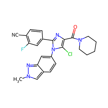 Cn1cc2ccc(-n3c(-c4ccc(C#N)c(F)c4)nc(C(=O)N4CCCCC4)c3Cl)cc2n1